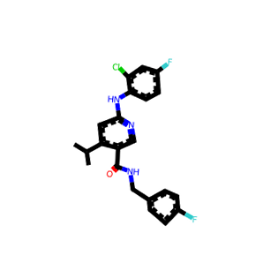 CC(C)c1cc(Nc2ccc(F)cc2Cl)ncc1C(=O)NCc1ccc(F)cc1